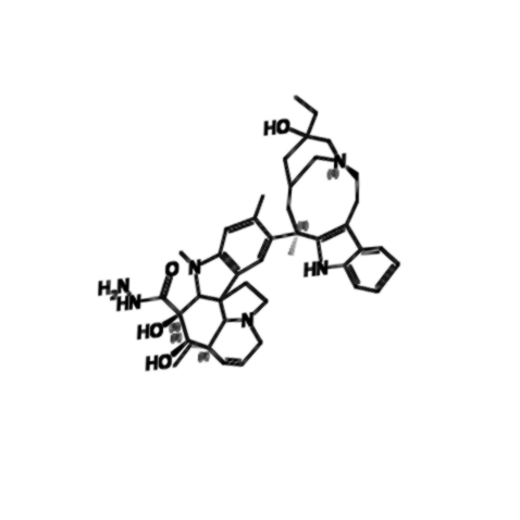 CCC1(O)CC2C[N@](CCc3c([nH]c4ccccc34)[C@@](C)(c3cc4c(cc3C)N(C)C3C45CCN4CC=C[C@](CC)(C45)[C@@H](O)[C@]3(O)C(=O)NN)C2)C1